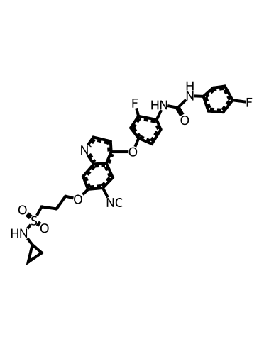 [C-]#[N+]c1cc2c(Oc3ccc(NC(=O)Nc4ccc(F)cc4)c(F)c3)ccnc2cc1OCCCS(=O)(=O)NC1CC1